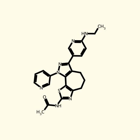 CCNc1ccc(-c2nn(-c3cccnc3)c3c2CCCc2nc(NC(C)=O)sc2-3)cn1